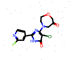 O=C1COCCN(c2nc(-c3ccnc(F)c3)[nH]c(=O)c2Cl)C1